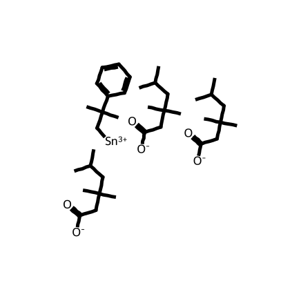 CC(C)([CH2][Sn+3])c1ccccc1.CC(C)CC(C)(C)CC(=O)[O-].CC(C)CC(C)(C)CC(=O)[O-].CC(C)CC(C)(C)CC(=O)[O-]